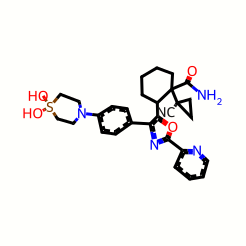 N#CC1(C2(C(N)=O)CCCCC2c2oc(-c3ccccn3)nc2-c2ccc(N3CCS(O)(O)CC3)cc2)CC1